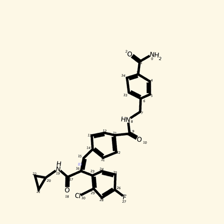 NC(=O)c1ccc(CNC(=O)c2ccc(/C=C(/C(=O)NC3CC3)c3ccc(F)cc3Cl)cc2)cc1